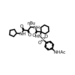 CCCC[C@H](NC(=O)C1(NS(=O)(=O)c2ccc(NC(C)=O)cc2)CCCCC1)C(=O)C(=O)NC1CCCC1